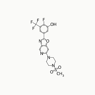 CS(=O)(=O)N1CCN(c2cc3oc(-c4cc(O)c(F)c(C(F)(F)F)c4)nc3cn2)CC1